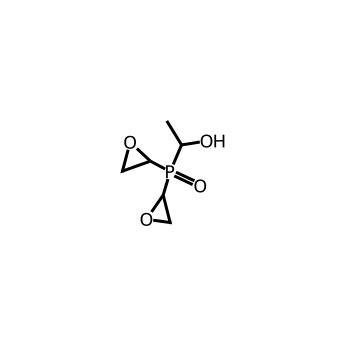 CC(O)P(=O)(C1CO1)C1CO1